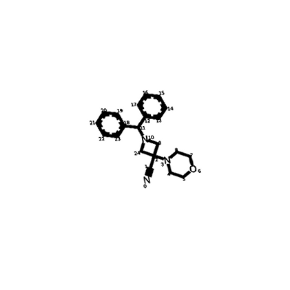 N#CC1(N2CCOCC2)CN(C(c2ccccc2)c2ccccc2)C1